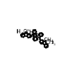 CC1(C)c2ccccc2-c2ccc(N3c4ccccc4B4c5ccccc5N(c5ccc6c(c5)C(C)(C)c5ccccc5-6)c5cccc3c54)cc21